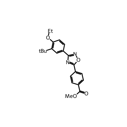 CCOc1ccc(-c2noc(-c3ccc(C(=O)OC)cc3)n2)cc1C(C)(C)C